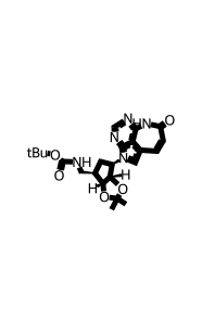 CC(C)(C)OC(=O)NC[C@H]1C[C@@H](n2cc3c4c(ncnc42)NC(=O)C=C3)[C@@H]2OC(C)(C)O[C@H]12